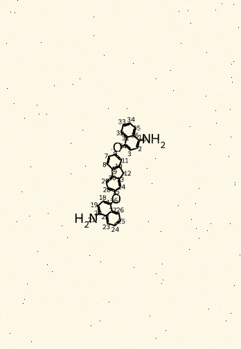 Nc1ccc(Oc2ccc3c(c2)Cc2cc(Oc4ccc(N)c5ccccc45)ccc2-3)c2ccccc12